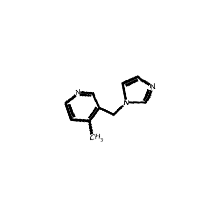 Cc1ccncc1Cn1ccnc1